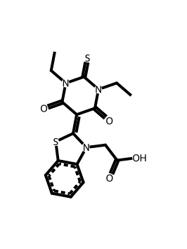 CCN1C(=O)C(=C2Sc3ccccc3N2CC(=O)O)C(=O)N(CC)C1=S